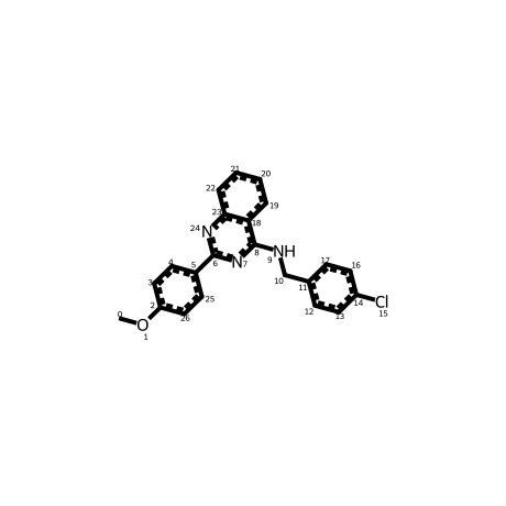 COc1ccc(-c2nc(NCc3ccc(Cl)cc3)c3ccccc3n2)cc1